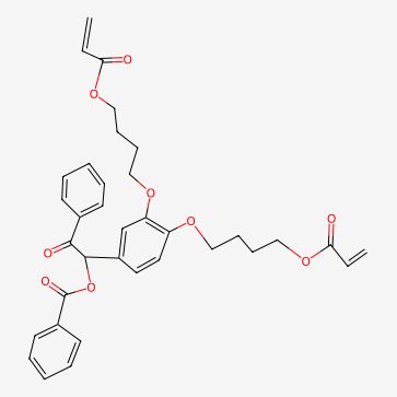 C=CC(=O)OCCCCOc1ccc(C(OC(=O)c2ccccc2)C(=O)c2ccccc2)cc1OCCCCOC(=O)C=C